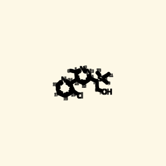 Cc1nnc(C(CO)[Si](C)(C)C)cc1-c1ncccc1Cl